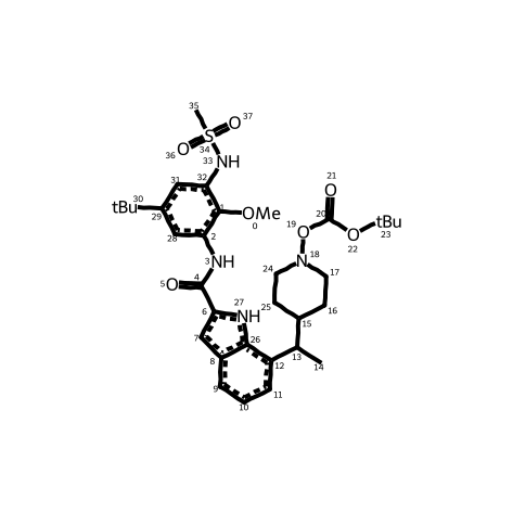 COc1c(NC(=O)c2cc3cccc(C(C)C4CCN(OC(=O)OC(C)(C)C)CC4)c3[nH]2)cc(C(C)(C)C)cc1NS(C)(=O)=O